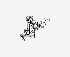 CCCCN(C)c1nc(Nc2cc(C3CC3)n[nH]2)nc(N2CCOCC2)n1